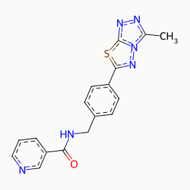 Cc1nnc2sc(-c3ccc(CNC(=O)c4cccnc4)cc3)nn12